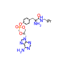 CC(C)CNC(=O)[C@@H](N)Cc1ccc(OP2(=O)CO[C@@H](Cn3cnc4c(N)ncnc43)CO2)cc1